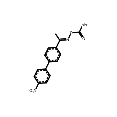 CCCC(=O)O/N=C(\C)c1ccc(-c2ccc([N+](=O)[O-])cc2)cc1